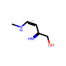 CN/C=C\C(=N)CO